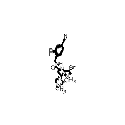 C[C@@H]1CN(C)CCN1c1cc(C(=O)NCc2ccc(C#N)cc2F)nc2c(Br)cnn12